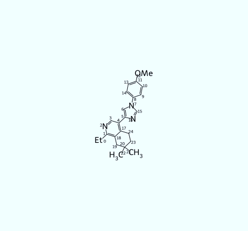 CCc1ncc(-c2cn(-c3ccc(OC)cc3)cn2)c2c1CC(C)(C)CC2